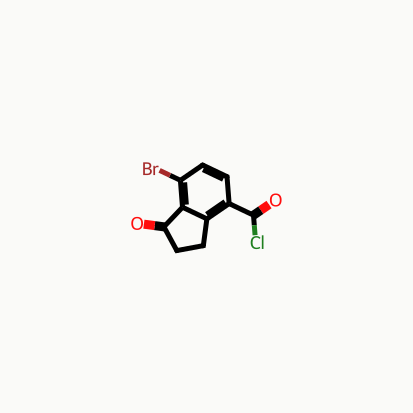 O=C(Cl)c1ccc(Br)c2c1CCC2=O